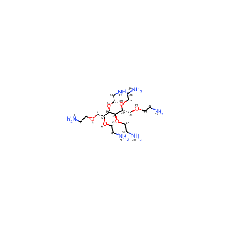 NCCOC[C@H](OCCN)[C@@H](OCCN)[C@H](OCCN)[C@@H](COCCN)OCCN